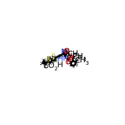 Cc1ccccc1C(C)OC(=O)Nc1c(C#Cc2cc3cc(C4(C(=O)O)CC4)sc3s2)noc1C